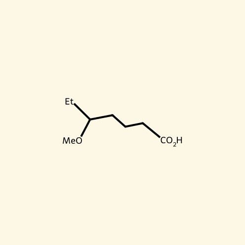 CCC(CCCC(=O)O)OC